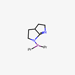 CC(C)P(C(C)C)N1CCC2CCN=C21